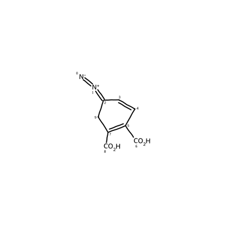 [N-]=[N+]=C1C=CC(C(=O)O)=C(C(=O)O)C1